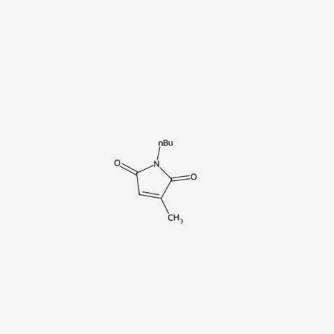 CCCCN1C(=O)C=C(C)C1=O